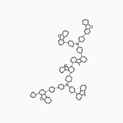 c1ccc(-c2ccc(-c3ccc(-c4ccc(N(c5ccc(-c6cccc7sc8ccccc8c67)cc5)c5ccc(-c6ccc(-c7cccc8c7sc7cccc(-c9ccc(N(c%10ccc(-c%11ccc%12oc%13ccccc%13c%12c%11)cc%10)c%10ccc(-c%11cccc%12oc%13ccccc%13c%11%12)cc%10)cc9)c78)c7oc8ccccc8c67)cc5)cc4)cc3)c3c2oc2ccccc23)cc1